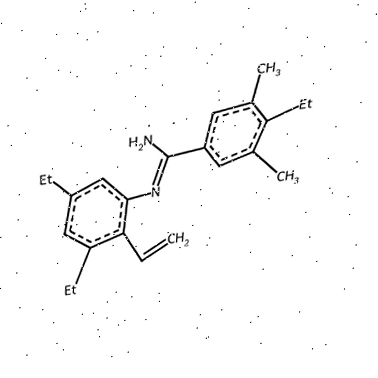 C=Cc1c(CC)cc(CC)cc1/N=C(\N)c1cc(C)c(CC)c(C)c1